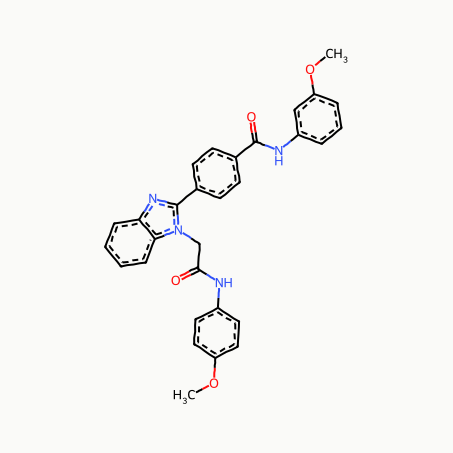 COc1ccc(NC(=O)Cn2c(-c3ccc(C(=O)Nc4cccc(OC)c4)cc3)nc3ccccc32)cc1